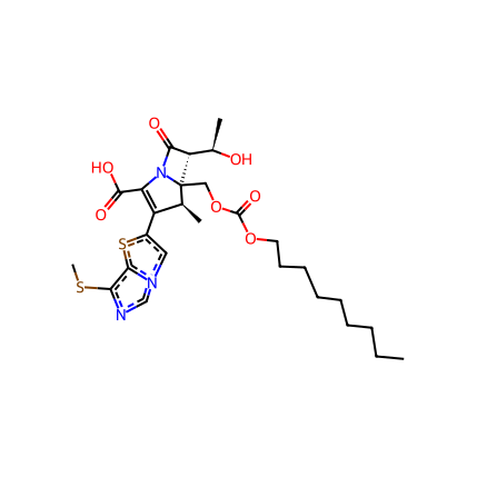 CCCCCCCCCOC(=O)OCC12[C@@H]([C@@H](C)O)C(=O)N1C(C(=O)O)=C(c1cn3cnc(SC)c3s1)[C@@H]2C